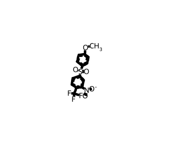 COc1ccc(S(=O)(=O)c2ccc(C(F)(F)F)c([N+](=O)[O-])c2)cc1